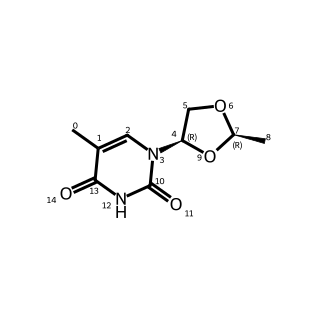 Cc1cn([C@H]2CO[C@@H](C)O2)c(=O)[nH]c1=O